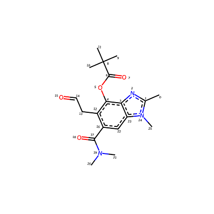 Cc1nc2c(OC(=O)C(C)(C)C)c(CC=O)c(C(=O)N(C)C)cc2n1C